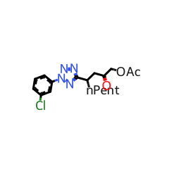 CCCCCC(CC(=O)COC(C)=O)c1nnn(-c2cccc(Cl)c2)n1